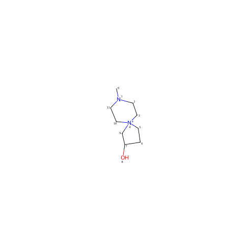 CN1CC[N+]2(CCC(O)C2)CC1